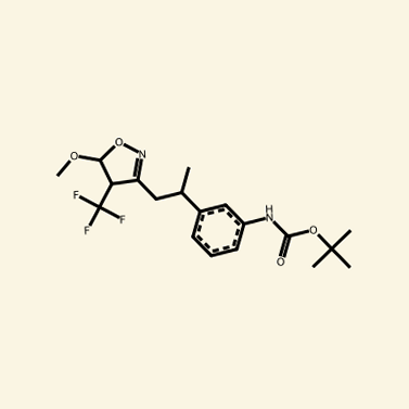 COC1ON=C(CC(C)c2cccc(NC(=O)OC(C)(C)C)c2)C1C(F)(F)F